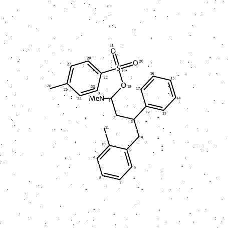 CNC(CC(Cc1ccccc1C)c1ccccc1)OS(=O)(=O)c1ccc(C)cc1